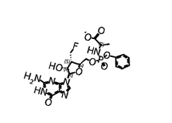 COC(=O)[C@@H](C)NP(=O)(OC[C@H]1O[C@@H](n2cnc3c(=O)[nH]c(N)nc32)[C@H](O)[C@@H]1CF)Oc1ccccc1